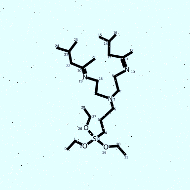 CCO[Si](CCCN(CCN=C(C)CC(C)C)CCN=C(C)CC(C)C)(OCC)OCC